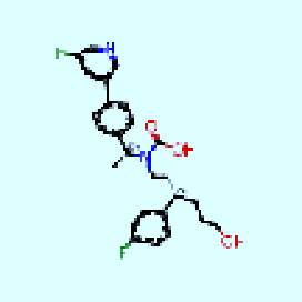 C[C@@H](c1ccc(-c2cncc(F)c2)cc1)N(CC[C@H](CCCO)c1ccc(F)cc1)C(=O)O